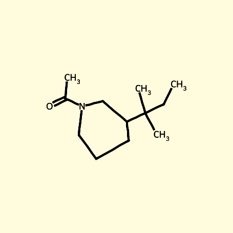 CCC(C)(C)C1CCCN(C(C)=O)C1